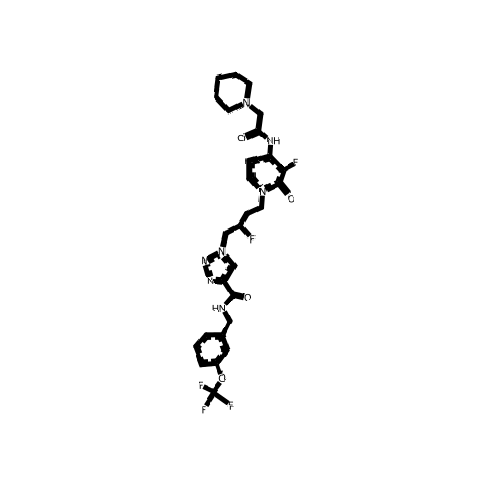 O=C(CN1CCCCC1)Nc1ccn(CCC(F)Cn2cc(C(=O)NCc3cccc(OC(F)(F)F)c3)nn2)c(=O)c1F